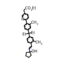 CCOC(=O)Cc1ccc(-c2ccc(C(CC)(CC)c3ccc(/C=C/C4(O)CCCC4)c(C)c3)cc2C)nc1